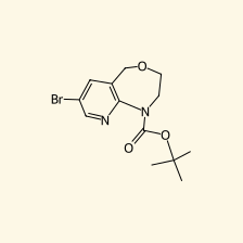 CC(C)(C)OC(=O)N1CCOCc2cc(Br)cnc21